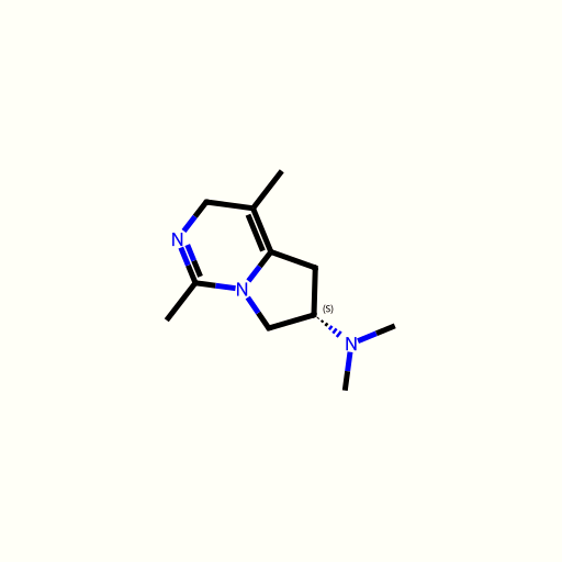 CC1=NCC(C)=C2C[C@H](N(C)C)CN12